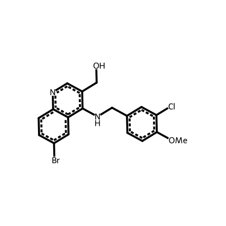 COc1ccc(CNc2c(CO)cnc3ccc(Br)cc23)cc1Cl